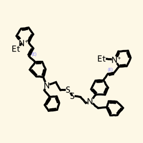 CC[n+]1ccccc1/C=C/c1ccc(N(CCSSCCN(Cc2ccccc2)c2ccc(/C=C/c3cccc[n+]3CC)cc2)Cc2ccccc2)cc1